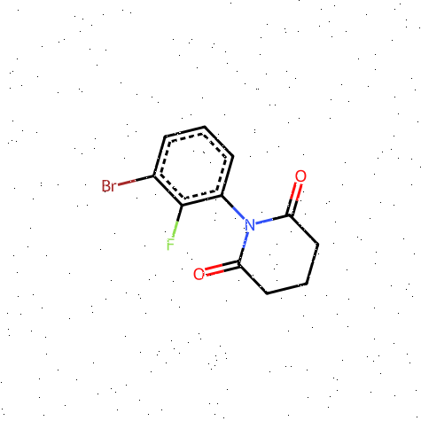 O=C1CCCC(=O)N1c1cccc(Br)c1F